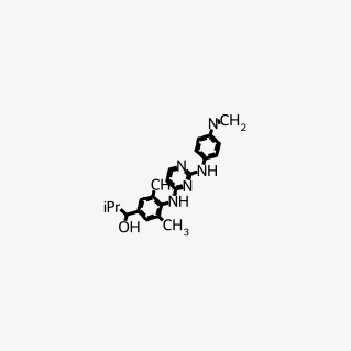 C=Nc1ccc(Nc2nccc(Nc3c(C)cc(C(O)C(C)C)cc3C)n2)cc1